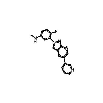 CNc1ccc(F)c(-n2cc3cc(-c4cccnc4)cnc3n2)c1